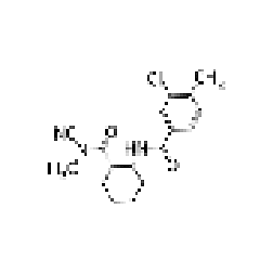 Cc1ccc(C(=O)N[C@@H]2CCCC[C@@H]2C(=O)N(C)C#N)cc1Cl